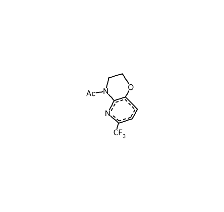 CC(=O)N1CCOc2ccc(C(F)(F)F)nc21